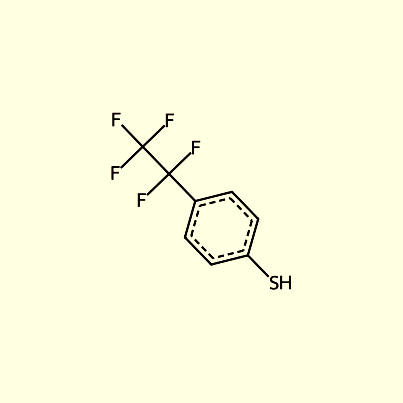 FC(F)(F)C(F)(F)c1ccc(S)cc1